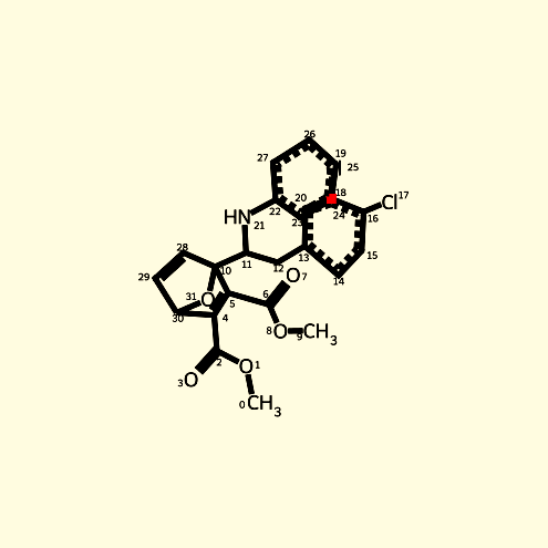 COC(=O)C1=C(C(=O)OC)C2(C(Cc3ccc(Cl)c(Cl)c3)Nc3ccccc3)C=CC1O2